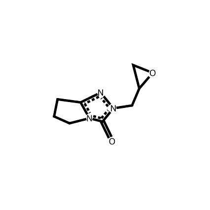 O=c1n(CC2CO2)nc2n1CCC2